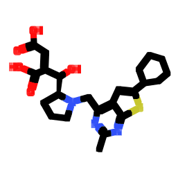 Cc1nc(CN2CCC[C@H]2C(O)C(=CC(=O)O)C(=O)O)c2cc(C3CCCCC3)sc2n1